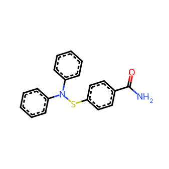 NC(=O)c1ccc(SN(c2ccccc2)c2ccccc2)cc1